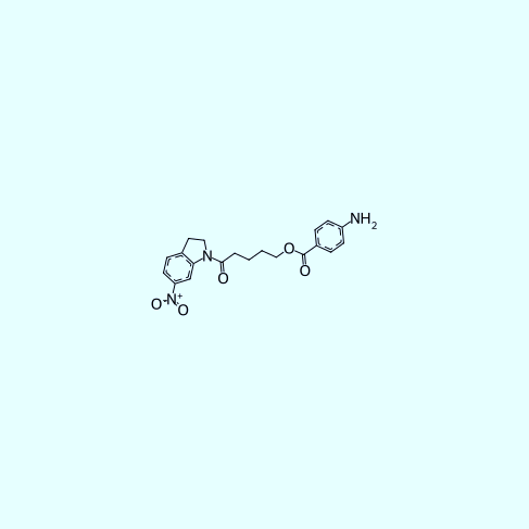 Nc1ccc(C(=O)OCCCCC(=O)N2CCc3ccc([N+](=O)[O-])cc32)cc1